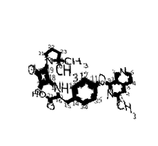 Cc1cc2ccncc2c(Oc2ccc(C[C@H](Nc3c(N4CCCC4(C)C)c(=O)c3=O)C(=O)O)cc2)n1